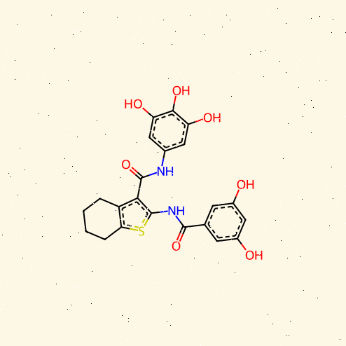 O=C(Nc1sc2c(c1C(=O)Nc1cc(O)c(O)c(O)c1)CCCC2)c1cc(O)cc(O)c1